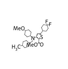 COC(=O)c1sc(C2CCC(F)(F)CC2)cc1N(CC1CCC(C)CC1)C1CCC(OC)CC1